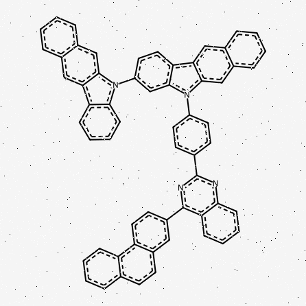 c1ccc2cc3c(cc2c1)c1ccccc1n3-c1ccc2c3cc4ccccc4cc3n(-c3ccc(-c4nc(-c5ccc6c(ccc7ccccc76)c5)c5ccccc5n4)cc3)c2c1